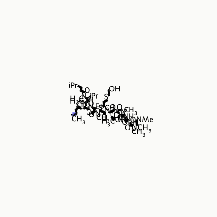 C/C=C/C[C@@H](C)C[C@@H](C(=O)N[C@@H](CC)C(=O)N(C)[C@H](SCCCSCCO)C(=O)N(C)[C@@H](CC(C)(C)O)C(=O)NC(=O)N(C)C(=O)NC(=O)NC(=O)N(C)C(C)C(=O)NC)N(C)C(=O)[C@H](C(C)C)N(C)C(=O)CCC(C)C